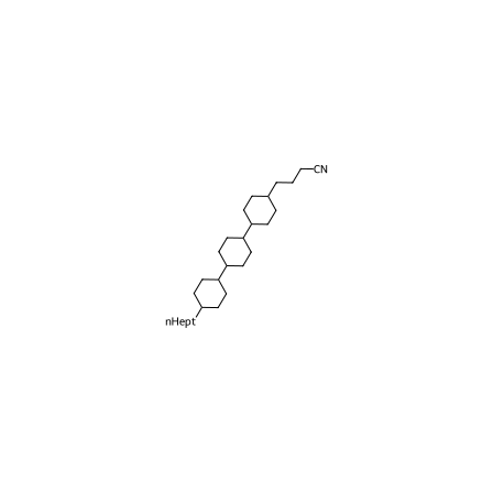 CCCCCCCC1CCC(C2CCC(C3CCC(CCCC#N)CC3)CC2)CC1